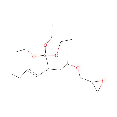 CCC=CC(CC(C)OCC1CO1)[Si](OCC)(OCC)OCC